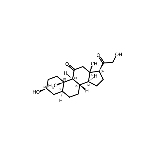 C[C@]12CC[C@H](O)C[C@@H]1CC[C@H]1[C@@H]3CC[C@H](C(=O)CO)[C@@]3(C)CC(=O)[C@@H]12